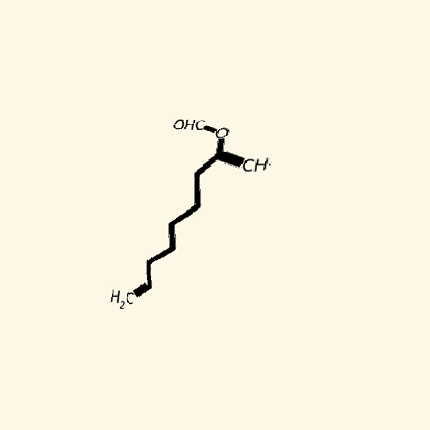 [CH]=C(CCCCCC=C)OC=O